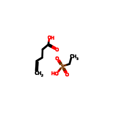 C=CCCC(=O)O.CCS(=O)(=O)O